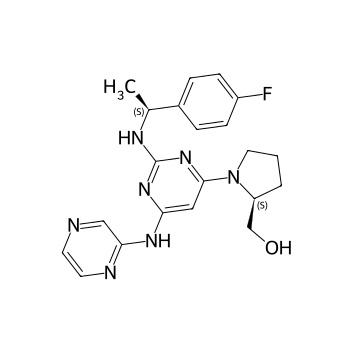 C[C@H](Nc1nc(Nc2cnccn2)cc(N2CCC[C@H]2CO)n1)c1ccc(F)cc1